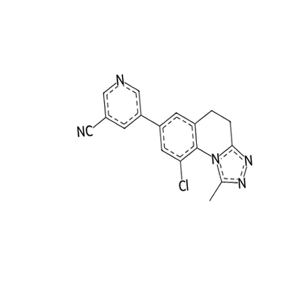 Cc1nnc2n1-c1c(Cl)cc(-c3cncc(C#N)c3)cc1CC2